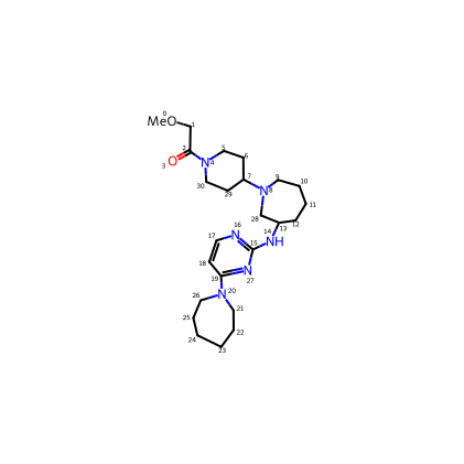 COCC(=O)N1CCC(N2CCCCC(Nc3nccc(N4CCCCCC4)n3)C2)CC1